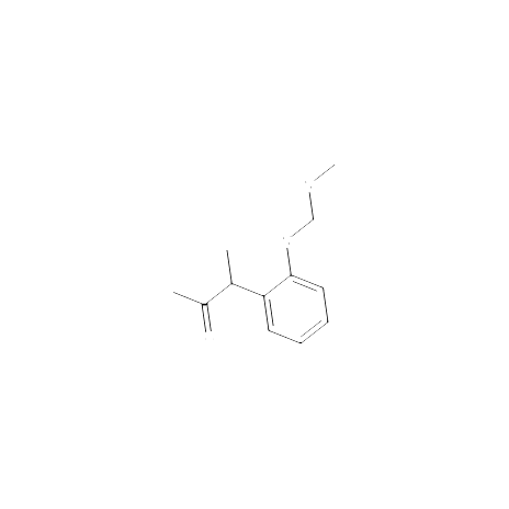 CNCNc1ccccc1C(C)C(C)=O